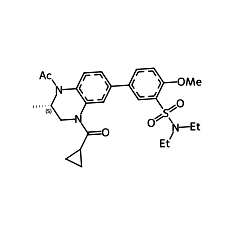 CCN(CC)S(=O)(=O)c1cc(-c2ccc3c(c2)N(C(=O)C2CC2)C[C@H](C)N3C(C)=O)ccc1OC